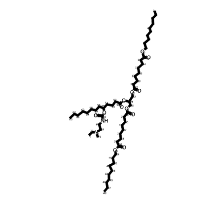 CCCCCCCCCCOC(=O)CCCCCCCC(=O)OCC(COC(=O)CCCCCCCC(=O)OCCCCCCCCCC)OC(=O)CCCC(CCCCCCCC)OC(=O)NCCN(C)CC